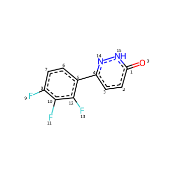 O=c1ccc(-c2ccc(F)c(F)c2F)n[nH]1